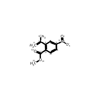 C=C(C)c1cc([N+](=O)[O-])ccc1C(=O)OC